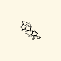 C[C@]12CCC3c4ccc(O)c(Br)c4CCC3C1CCC2=O